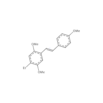 CCc1cc(OC)c(/C=C/c2ccc(OC)cc2)cc1OC